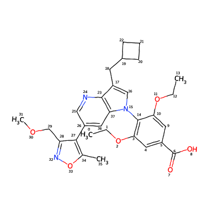 CCOc1cc(C(=O)O)cc(OCC)c1-n1cc(CC2CCC2)c2ncc(-c3c(COC)noc3C)cc21